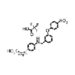 O=C(O)C(F)(F)F.O=C(O)[C@@H]1C[C@H]1c1ccc(NCc2cccc(Oc3ccc([N+](=O)[O-])cc3)c2)cc1